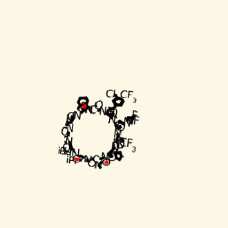 CC[C@H](C)[C@@H]1NC(=O)[C@H](CC(C)C)N(C)C(=O)C[C@@H](C(=O)N(C)C)N(C)C(=O)[C@H](C2CCCC2)N(C)C(=O)[C@H](CC(F)(F)F)NC(=O)[C@H](CCN2CC(F)(F)C2)N(C)C(=O)[C@H](CCc2ccc(C(F)(F)F)c(Cl)c2)NC(=O)CN(C)C(=O)[C@H](CC2CCCCC2)N(C)C(=O)[C@@H]2CCN2C(=O)[C@H](C)N(C)C1=O